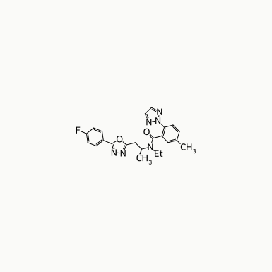 CCN(C(=O)c1cc(C)ccc1-n1nccn1)[C@@H](C)Cc1nnc(-c2ccc(F)cc2)o1